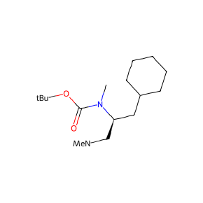 CNC[C@H](CC1CCCCC1)N(C)C(=O)OC(C)(C)C